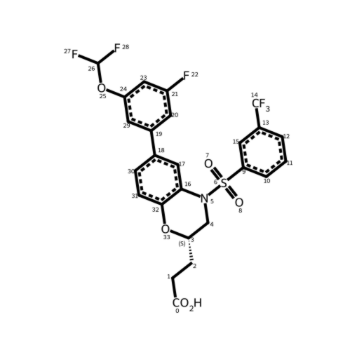 O=C(O)CC[C@H]1CN(S(=O)(=O)c2cccc(C(F)(F)F)c2)c2cc(-c3cc(F)cc(OC(F)F)c3)ccc2O1